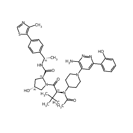 CC(=O)N(C1CCN(c2cc(-c3ccccc3O)nnc2N)CC1)[C@H](C(=O)N1C[C@H](O)C[C@H]1C(=O)N[C@@H](C)c1ccc(-c2scnc2C)cc1)C(C)(C)C